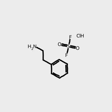 Cl.NCCc1ccccc1.O=S(=O)(F)F